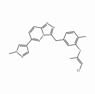 CC/C=C(\C)Sc1cc(Cc2nnc3ccc(-c4cnn(C)c4)nn23)ccc1C